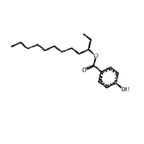 CCCCCCCCCC(CC)OC(=O)c1ccc(O)cc1